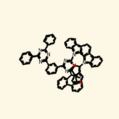 CC12C=C(n3c4ccccc4c4ccc5c6ccccc6n(-c6nc(-c7ccccc7)nc(-c7cccc(-c8nc(-c9ccccc9)nc(-c9ccccc9)n8)c7)n6)c5c43)C=CC1c1ccccc1-c1ccccc12